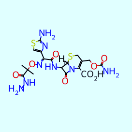 CC(C)(ON=C(C(=O)NC1C(=O)N2C(C(=O)O)=C(COC(N)=O)CS[C@@H]12)c1csc(N)n1)C(=O)NN